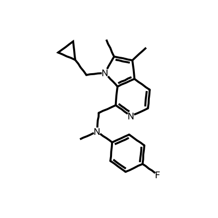 Cc1c(C)n(CC2CC2)c2c(CN(C)c3ccc(F)cc3)nccc12